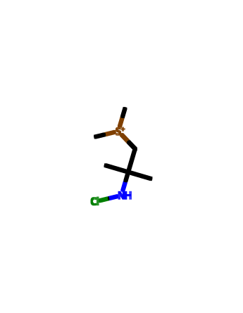 C[S+](C)CC(C)(C)NCl